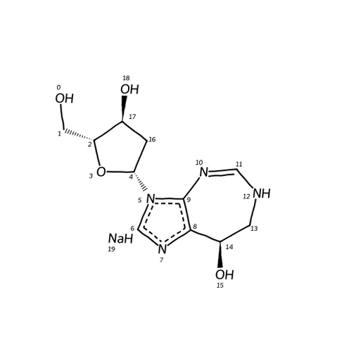 OC[C@H]1O[C@@H](n2cnc3c2N=CNC[C@H]3O)C[C@@H]1O.[NaH]